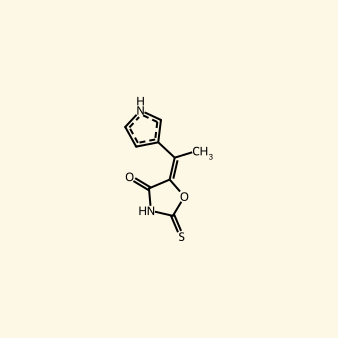 CC(=C1OC(=S)NC1=O)c1cc[nH]c1